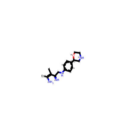 CC/C(N)=C(\C)C(=N)CNc1ccc(C2CNCCO2)cc1